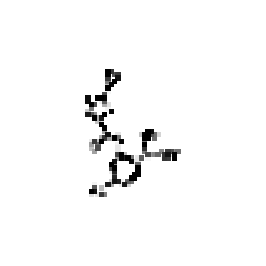 CCCN(CCC)c1ccc(C(C)=O)cc1NC(=O)c1coc(C2CC2)n1